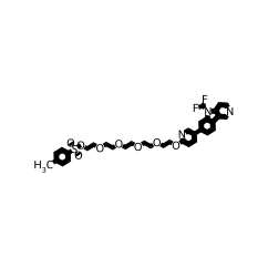 Cc1ccc(S(=O)(=O)OCCOCCOCCOCCOCCOc2ccc(-c3ccc4c5cnccc5n(C(F)F)c4c3)cn2)cc1